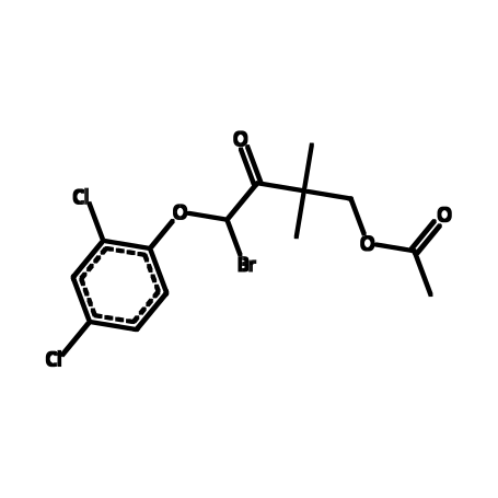 CC(=O)OCC(C)(C)C(=O)C(Br)Oc1ccc(Cl)cc1Cl